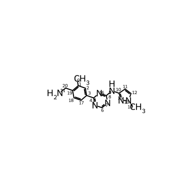 Cc1cc(-c2ncnc(Nc3ccn(C)n3)n2)ccc1CN